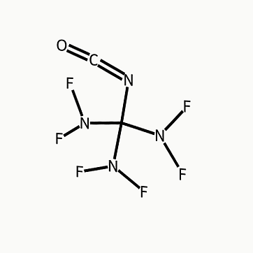 O=C=NC(N(F)F)(N(F)F)N(F)F